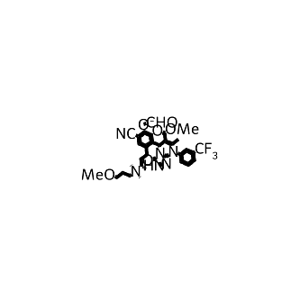 COCCC[N+](C)(C)CCCc1cc(C#N)ccc1C1C(C(=O)OC)=C(C)N(c2cccc(C(F)(F)F)c2)c2n[nH]c(=O)n21.O=C[O-]